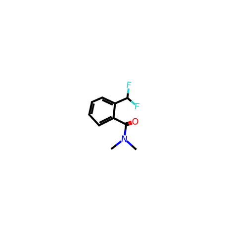 CN(C)C(=O)c1ccccc1C(F)F